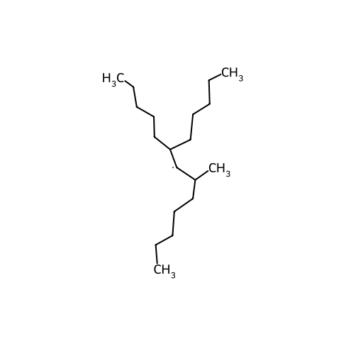 CCCCCC(C)[CH]C(CCCCC)CCCCC